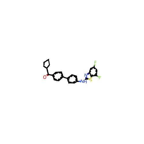 O=C(c1ccc(-c2ccc(Nc3nc4cc(F)cc(F)c4s3)cc2)cc1)C1CCCC1